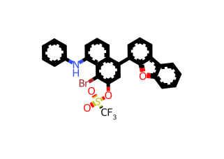 O=S(=O)(Oc1cc(-c2cccc3c2oc2ccccc23)c2cccc(Nc3ccccc3)c2c1Br)C(F)(F)F